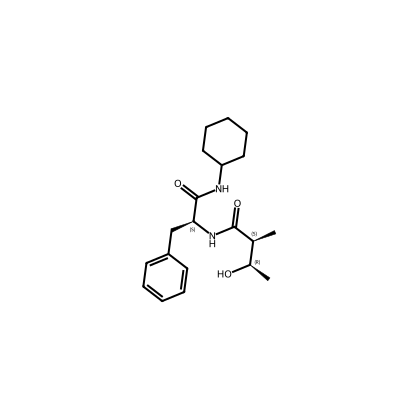 C[C@H](C(=O)N[C@@H](Cc1ccccc1)C(=O)NC1CCCCC1)[C@@H](C)O